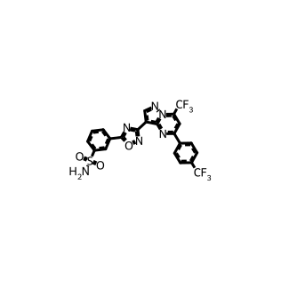 NS(=O)(=O)c1cccc(-c2nc(-c3cnn4c(C(F)(F)F)cc(-c5ccc(C(F)(F)F)cc5)nc34)no2)c1